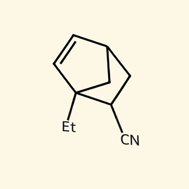 CCC12C=CC(CC1C#N)C2